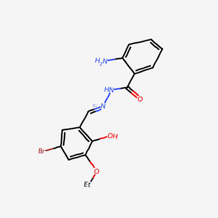 CCOc1cc(Br)cc(/C=N/NC(=O)c2ccccc2N)c1O